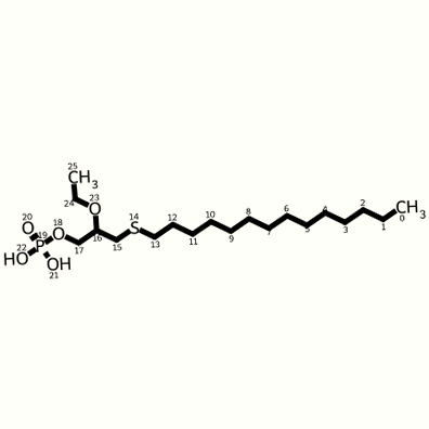 CCCCCCCCCCCCCCSCC(COP(=O)(O)O)OCC